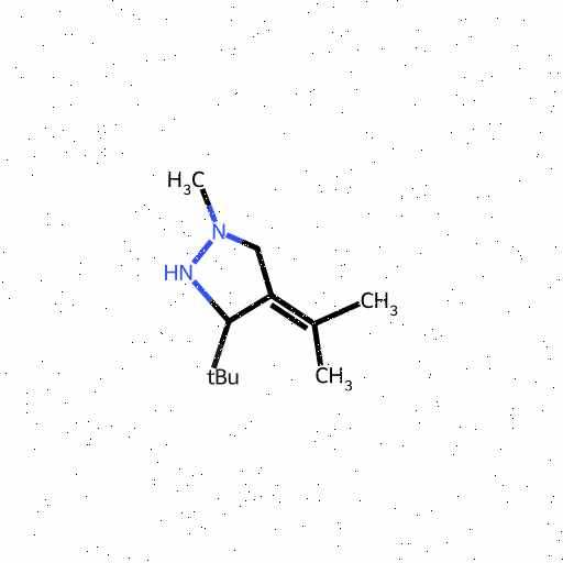 CC(C)=C1CN(C)NC1C(C)(C)C